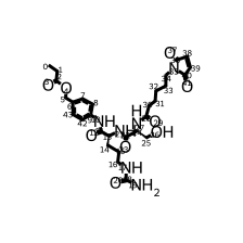 CCC(=O)OCc1ccc(NC(=O)[C@H](CCCNC(N)=O)NC(=O)[C@H](CO)NC(=O)CCCCCN2C(=O)C=CC2=O)cc1